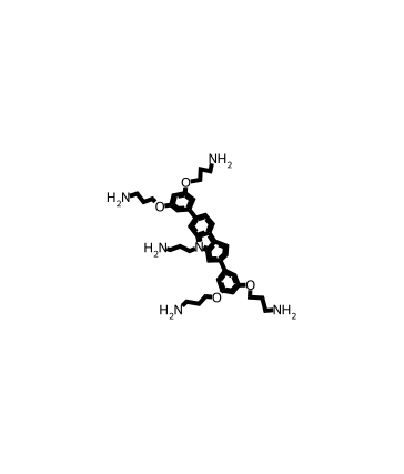 NCCCOc1cc(OCCCN)cc(-c2ccc3c4ccc(-c5cc(OCCCN)cc(OCCCN)c5)cc4n(CCCN)c3c2)c1